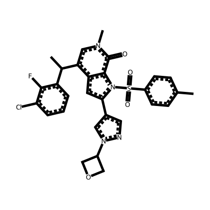 Cc1ccc(S(=O)(=O)n2c(-c3cnn(C4COC4)c3)cc3c(C(C)c4cccc(Cl)c4F)cn(C)c(=O)c32)cc1